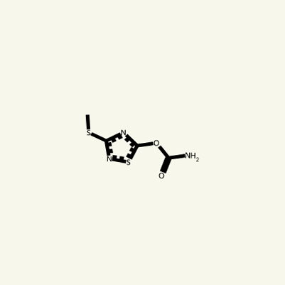 CSc1nsc(OC(N)=O)n1